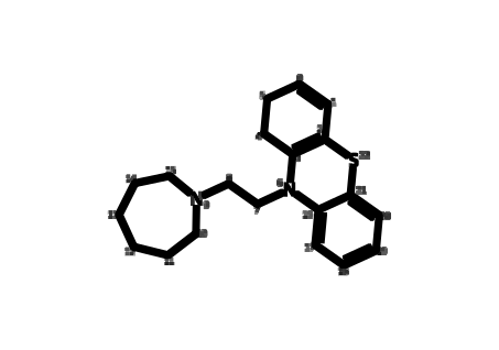 C1=CC2=C(CC1)N(CCN1CCCCCC1)c1ccccc1S2